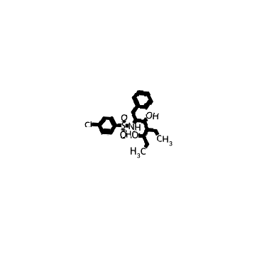 CCC(O)C(CC)C(O)C(Cc1ccccc1)NS(=O)(=O)c1ccc(Cl)cc1